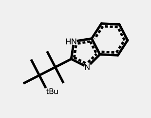 CC(C)(C)C(C)(C)C(C)(C)c1nc2ccccc2[nH]1